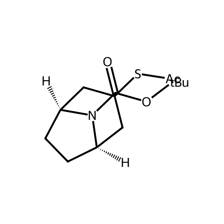 CC(=O)SC1C[C@H]2CC[C@@H](C1)N2C(=O)OC(C)(C)C